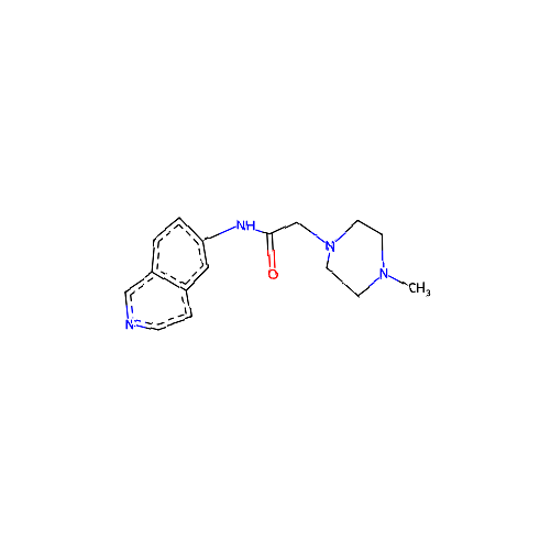 CN1CCN(CC(=O)Nc2ccc3cnccc3c2)CC1